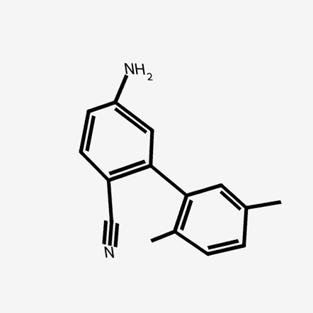 Cc1ccc(C)c(-c2cc(N)ccc2C#N)c1